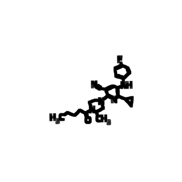 CCCCC(=O)N1CCN(c2nc(C3CC3)c(Nc3ccc(F)cc3)cc2C#N)CC1C